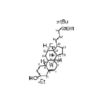 CC[C@]1(O)CC[C@H]2C(=CC[C@@H]3[C@@H]2CC[C@]2(C)[C@@H](CCC[C@@H](O)C(C)(C)C)CC[C@@H]32)C1